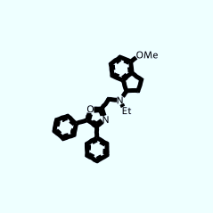 CCN(Cc1nc(-c2ccccc2)c(-c2ccccc2)o1)C1CCc2c(OC)cccc21